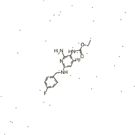 CCOC(=O)Nc1c([18F])cc(NCc2ccc(F)cc2)nc1N